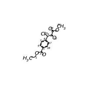 CCOC(=O)c1ccc(C(Cl)C(=O)C(=O)OC)cc1